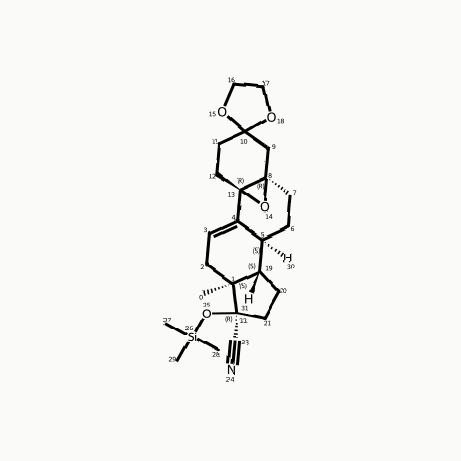 C[C@]12CC=C3[C@@H](CC[C@@]45CC6(CC[C@@]34O5)OCCO6)[C@@H]1CC[C@@]2(C#N)O[Si](C)(C)C